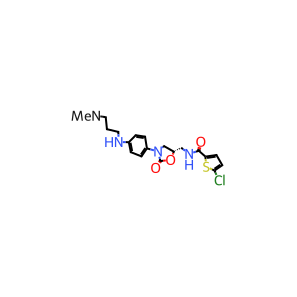 CNCCCNc1ccc(N2C[C@H](CNC(=O)c3ccc(Cl)s3)OC2=O)cc1